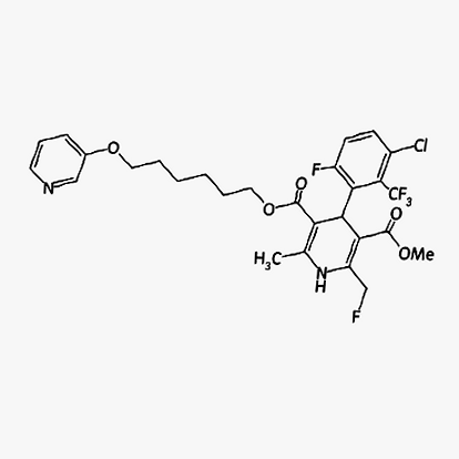 COC(=O)C1=C(CF)NC(C)=C(C(=O)OCCCCCCOc2cccnc2)C1c1c(F)ccc(Cl)c1C(F)(F)F